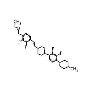 CCOCc1ccc(/C=C/C2CCC(c3ccc(C4CCC(C)CC4)c(F)c3F)CC2)c(F)c1F